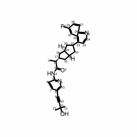 CC(C(=O)Nc1ccc(C#CC(C)(C)O)cn1)[C@H]1C[C@H]2CC(c3ccnc4ccc(F)cc34)C[C@H]2C1